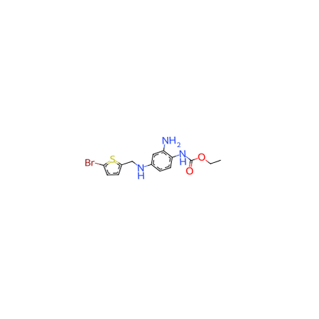 CCOC(=O)Nc1ccc(NCc2ccc(Br)s2)cc1N